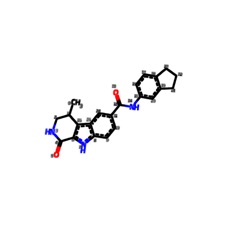 CC1CNC(=O)c2[nH]c3ccc(C(=O)Nc4ccc5c(c4)CCC5)cc3c21